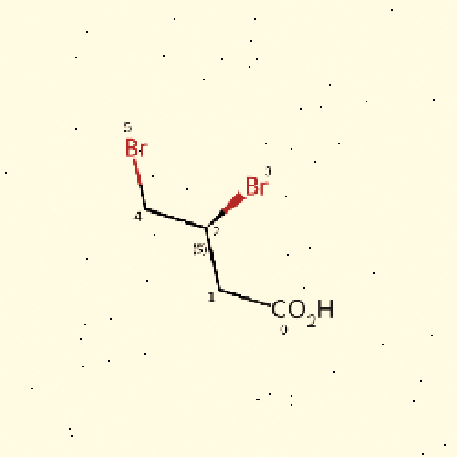 O=C(O)C[C@H](Br)CBr